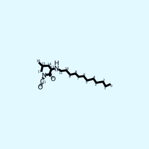 CCCCCCCCCCCCNC(CC(C)C)C(=O)N=C=O